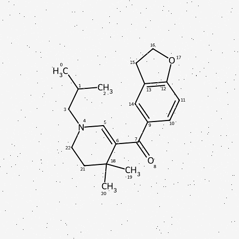 CC(C)CN1C=C(C(=O)c2ccc3c(c2)CCO3)C(C)(C)CC1